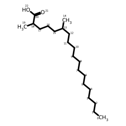 CCCCCCCCCCCCCC(C)CCCC(C)C(=O)O